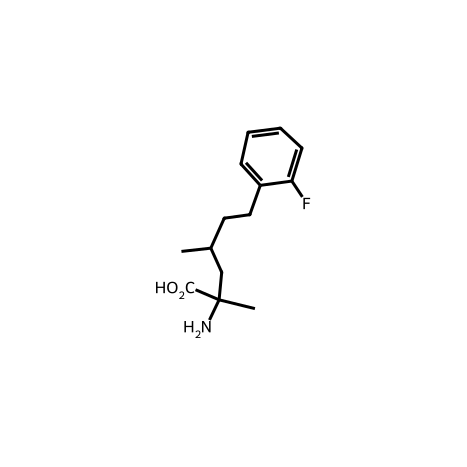 CC(CCc1ccccc1F)CC(C)(N)C(=O)O